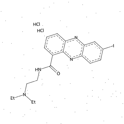 CCN(CC)CCNC(=O)c1cccc2nc3cc(I)ccc3nc12.Cl.Cl